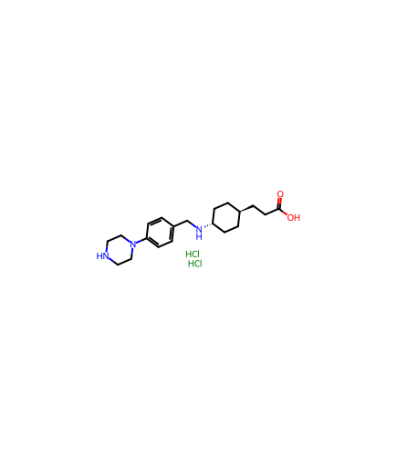 Cl.Cl.O=C(O)CC[C@H]1CC[C@H](NCc2ccc(N3CCNCC3)cc2)CC1